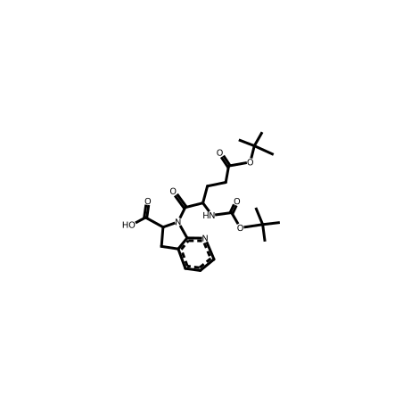 CC(C)(C)OC(=O)CCC(NC(=O)OC(C)(C)C)C(=O)N1c2ncccc2CC1C(=O)O